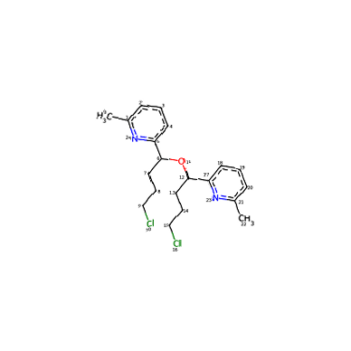 Cc1cccc(C(CCCCl)OC(CCCCl)c2cccc(C)n2)n1